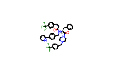 O=C([C@H](Cc1ccccc1)N(Cc1ccc(-c2ccccn2)cc1)C(=O)/C=C\c1ccc(C(F)(F)F)cc1)N1CCN(Cc2ccc(C(F)(F)F)cc2)CC1